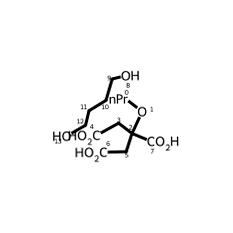 CCCOC(CC(=O)O)(CC(=O)O)C(=O)O.OCCCCO